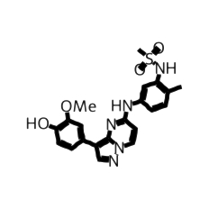 COc1cc(-c2cnn3ccc(Nc4ccc(C)c(NS(C)(=O)=O)c4)nc23)ccc1O